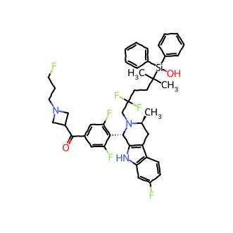 C[C@H]1Cc2c([nH]c3cc(F)ccc23)[C@H](c2c(F)cc(C(=O)C3CN(CCCF)C3)cc2F)N1CC(F)(F)CCC(C)(C)[Si](O)(c1ccccc1)c1ccccc1